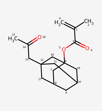 C=C(C)C(=O)OC12CC3CC(CC(CC(C)=O)(C3)C1)C2